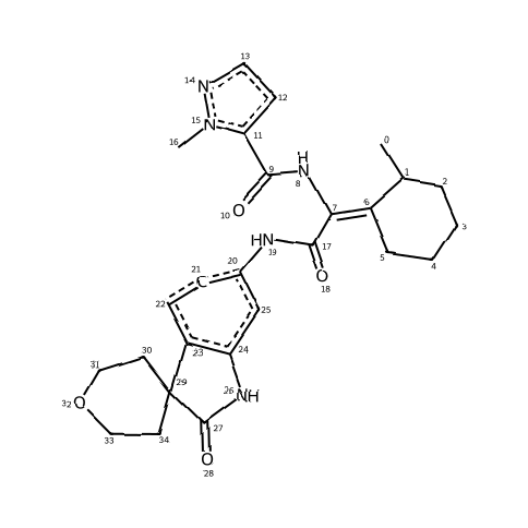 CC1CCCCC1=C(NC(=O)c1ccnn1C)C(=O)Nc1ccc2c(c1)NC(=O)C21CCOCC1